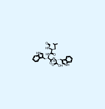 CC(C)C[C@H](NC=O)C(=O)N[C@@H](Cc1c[nH]c2ccccc12)C(=O)N[C@H](Cc1c[nH]c2ccccc12)C(=O)O